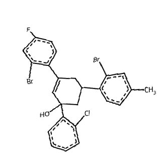 Cc1ccc(C2CC(c3ccc(F)cc3Br)=CC(O)(c3ccccc3Cl)C2)c(Br)c1